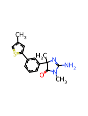 Cc1csc(-c2cccc(C3(C)N=C(N)N(C)C3=O)c2)c1